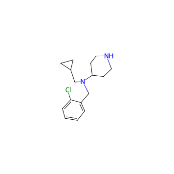 Clc1ccccc1CN(CC1CC1)C1CCNCC1